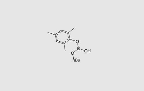 CCCCOB(O)Oc1c(C)cc(C)cc1C